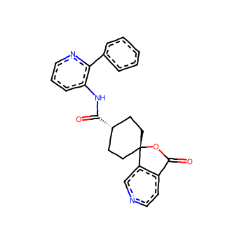 O=C1O[C@]2(CC[C@@H](C(=O)Nc3cccnc3-c3ccccc3)CC2)c2cnccc21